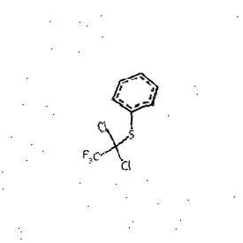 FC(F)(F)C(Cl)(Cl)Sc1ccccc1